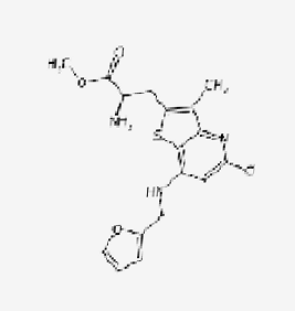 COC(=O)[C@H](N)Cc1sc2c(NCc3ccco3)cc(Cl)nc2c1C